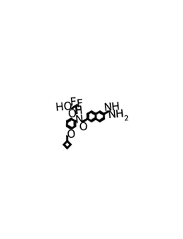 N=C(N)c1ccc2cc(C(=O)Nc3cccc(OCC4CCC4)c3)ccc2c1.O=C(O)C(F)(F)F